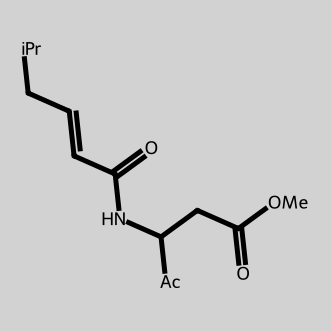 COC(=O)CC(NC(=O)/C=C/CC(C)C)C(C)=O